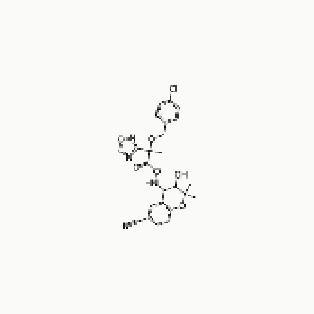 CC(OCc1ccc(Cl)cc1)(C(=O)ONC1c2cc(C#N)ccc2OC(C)(C)C1O)c1ncon1